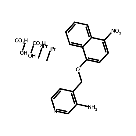 CC(C)C.CC(C)C.Nc1cnccc1COc1ccc([N+](=O)[O-])c2ccccc12.O=C(O)O.O=C(O)O